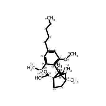 CCCCCc1cc(OC)c(C2=C[C@@]3(C)CC[C@]2(C(=O)O)C3(C)C)c(OC)c1